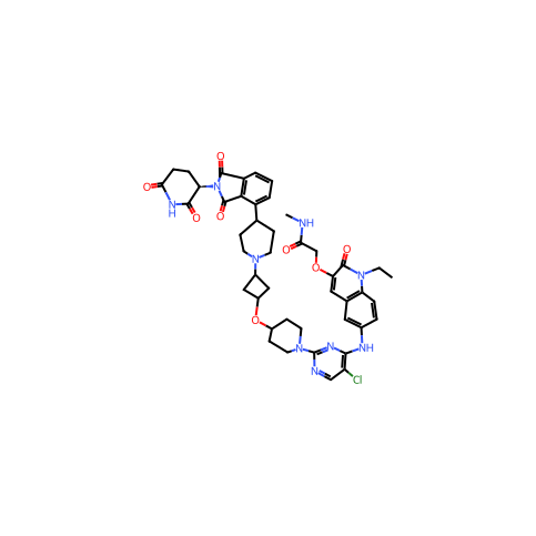 CCn1c(=O)c(OCC(=O)NC)cc2cc(Nc3nc(N4CCC(OC5CC(N6CCC(c7cccc8c7C(=O)N([C@@H]7CCC(=O)NC7=O)C8=O)CC6)C5)CC4)ncc3Cl)ccc21